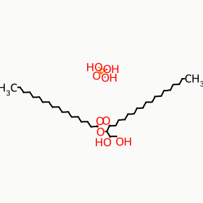 CCCCCCCCCCCCCCCCCC(=O)OC(C(=O)CCCCCCCCCCCCCCCCC)C(O)CO.O=P(O)(O)O